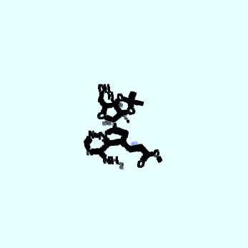 COC(=O)/C=C/c1cc([C@@H]2OC(CO)[C@H]3OC(C)(C)O[C@]32C)n2ncnc(N)c12